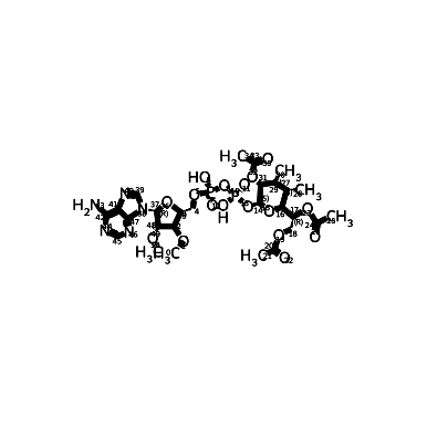 COC1[C@@H](COP(=O)(O)OP(=O)(O)O[C@@H]2OC([C@@H](COC(C)=O)OC(C)=O)[C@@H](C)[C@H](C)C2OC(C)=O)O[C@@H](n2cnc3c(N)ncnc32)[C@H]1OC